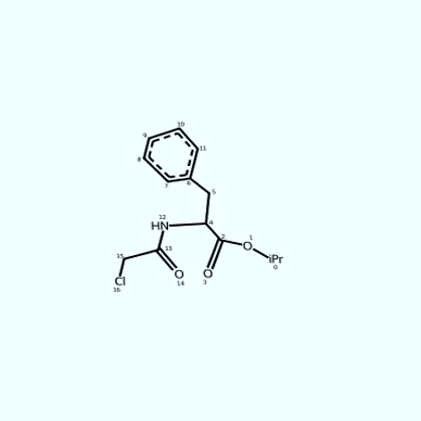 CC(C)OC(=O)C(Cc1ccccc1)NC(=O)CCl